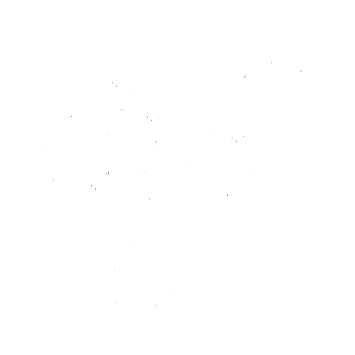 CC(Cc1ncccc1-c1nc(N)c2cccnc2c1CCc1ccccc1)c1ccccc1